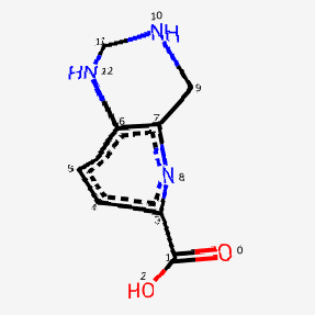 O=C(O)c1ccc2c(n1)CNCN2